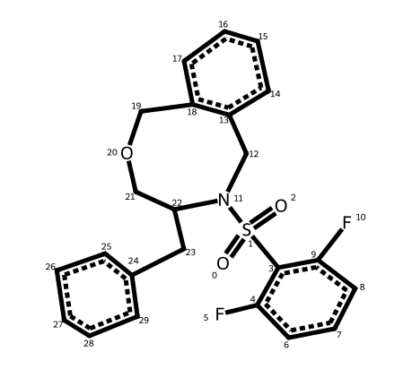 O=S(=O)(c1c(F)cccc1F)N1Cc2ccccc2COCC1Cc1ccccc1